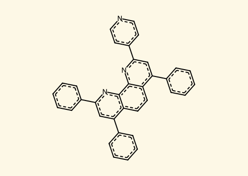 c1ccc(-c2cc(-c3ccccc3)c3ccc4c(-c5ccccc5)cc(-c5ccncc5)nc4c3n2)cc1